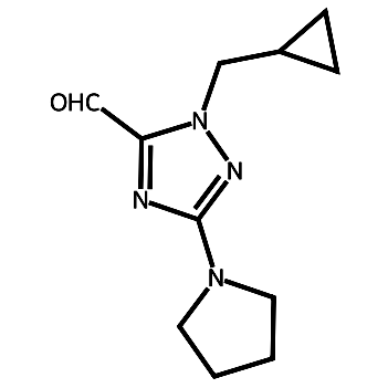 O=Cc1nc(N2CCCC2)nn1CC1CC1